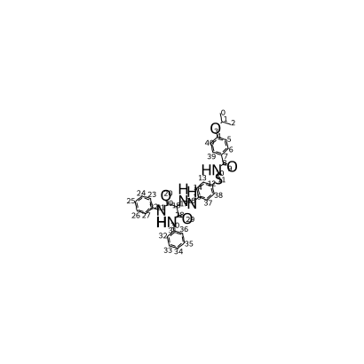 CC(C)Oc1ccc(C(=O)NSc2ccc(NNC(C(=O)Nc3ccccc3)C(=O)Nc3ccccc3)cc2)cc1